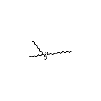 CCCCCCCCCCCCOC(=O)C(CCCCCC)CCCCCCCC